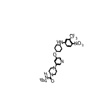 CC(C)(C)NC(=O)N1CCN(c2cncc(O[C@H]3CC[C@H](Nc4ccc([N+](=O)[O-])c(C(F)(F)F)c4)CC3)c2)CC1